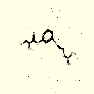 NC(CS)C(=O)Oc1cccc(CCCON(O)O)c1